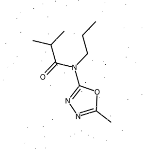 CCCN(C(=O)C(C)C)c1nnc(C)o1